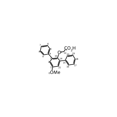 COc1cc(-c2ccccc2)c(OCC(=O)O)c(-c2ccccc2)c1